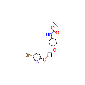 CC(C)(C)OC(=O)N[C@H]1CC[C@H](O[C@H]2C[C@H](Oc3ccc(Br)cn3)C2)CC1